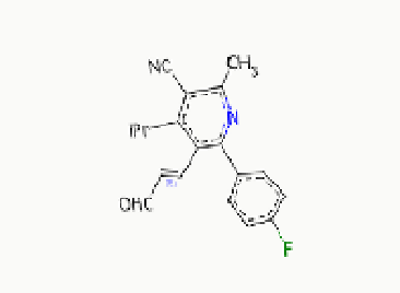 Cc1nc(-c2ccc(F)cc2)c(/C=C/C=O)c(C(C)C)c1C#N